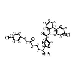 CCCC(CCCC(=O)CCc1ccc(Cl)cc1)c1nc(C(=O)Cc2ccccc2-c2ccc(Cl)cc2)cs1